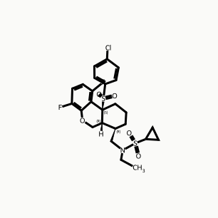 CCN(C[C@@H]1CCC[C@@]2(S(=O)(=O)c3ccc(Cl)cc3)c3c(F)ccc(F)c3OC[C@@H]12)S(=O)(=O)C1CC1